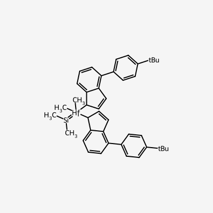 C[Si](C)=[Hf]([CH3])([CH3])([CH]1C=Cc2c(-c3ccc(C(C)(C)C)cc3)cccc21)[CH]1C=Cc2c(-c3ccc(C(C)(C)C)cc3)cccc21